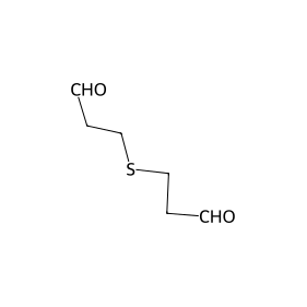 O=CCCSCCC=O